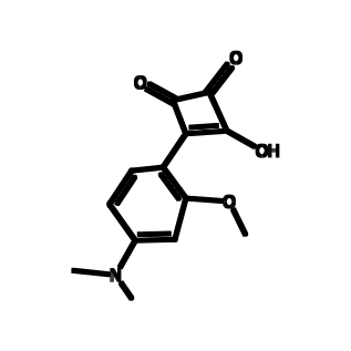 COc1cc(N(C)C)ccc1-c1c(O)c(=O)c1=O